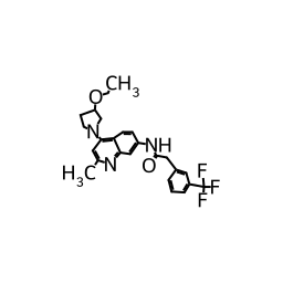 CCOC1CCN(c2cc(C)nc3cc(NC(=O)Cc4cccc(C(F)(F)F)c4)ccc23)C1